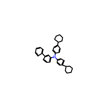 c1ccc(-c2cccc(N(c3ccc(C4CCCCC4)cc3)c3ccc(C4CCCCC4)cc3)c2)cc1